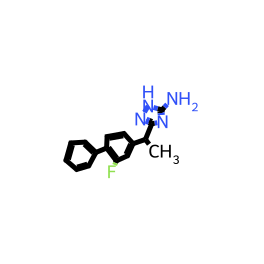 CC(c1ccc(-c2ccccc2)c(F)c1)c1n[nH]c(N)n1